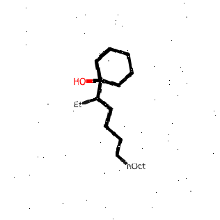 CCCCCCCCCCCCC(CC)C1(O)CCCCC1